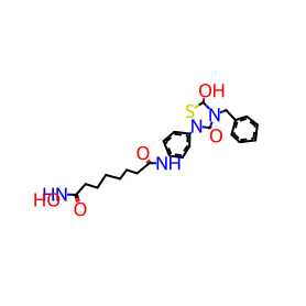 O=C(CCCCCCC(=O)Nc1ccc(N2SC(O)N(Cc3ccccc3)C2=O)cc1)NO